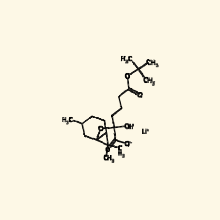 CC1CCC2C(C)(C)C2(OC(O)(CCCC(=O)OC(C)(C)C)C(=O)[O-])C1.[Li+]